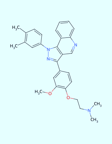 COc1cc(-c2nn(-c3ccc(C)c(C)c3)c3c2cnc2ccccc23)ccc1OCCN(C)C